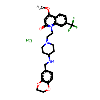 COc1cc(=O)n(CCN2CCC(NCc3ccc4c(c3)OCCO4)CC2)c2cc(C(F)(F)F)ccc12.Cl